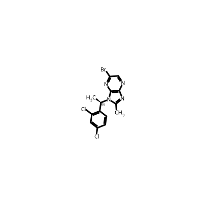 Cc1nc2ncc(Br)nc2n1[C@H](C)c1ccc(Cl)cc1Cl